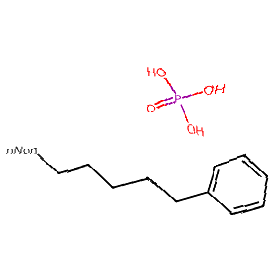 CCCCCCCCCCCCCCc1ccccc1.O=P(O)(O)O